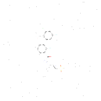 C[C@H](/C=C/S(C)(=O)=O)NC(=O)c1ccc(O[C@@H](C)c2ccc(F)cc2Cl)cc1F